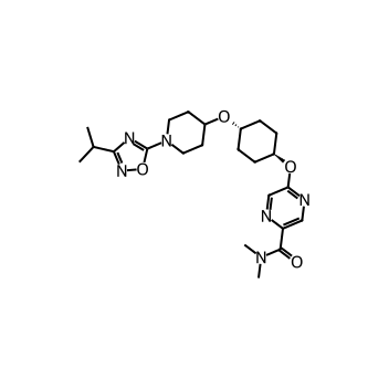 CC(C)c1noc(N2CCC(O[C@H]3CC[C@H](Oc4cnc(C(=O)N(C)C)cn4)CC3)CC2)n1